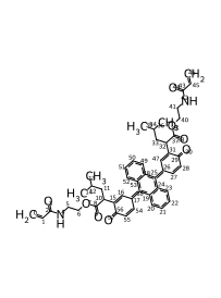 C=CC(=O)NCCOC(=O)C(CC(C)C)C1=CC(=c2c3ccccc3c(=C3C=CC(=O)C(C(CC(C)C)C(=O)OCCNC(=O)C=C)=C3)c3ccccc23)C=CC1=O